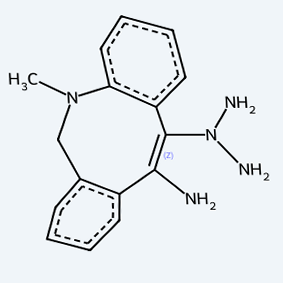 CN1Cc2ccccc2/C(N)=C(/N(N)N)c2ccccc21